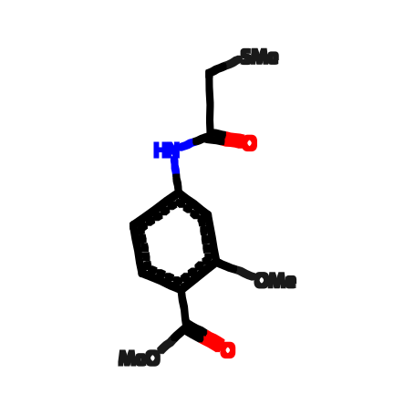 COC(=O)c1ccc(NC(=O)CSC)cc1OC